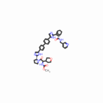 COC(=O)NC(C(=O)N1CCC[C@H]1c1ncc(-c2ccc(-c3ccc(-c4cnc(C5C6CCC(C6)[C@@H]5C(=O)NCc5cccnc5)[nH]4)cc3)cc2)[nH]1)C1CCOCC1